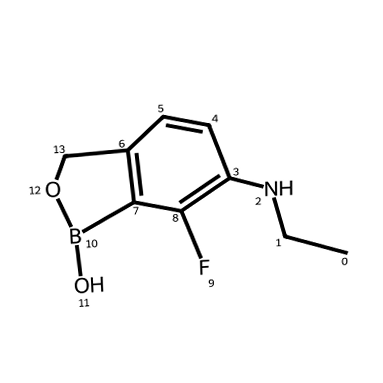 CCNc1ccc2c(c1F)B(O)OC2